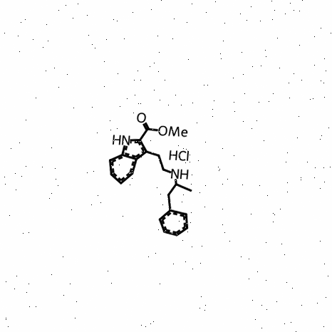 COC(=O)c1[nH]c2ccccc2c1CCNC(C)Cc1ccccc1.Cl